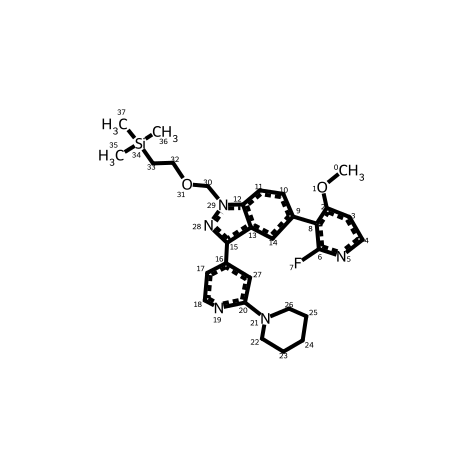 COc1ccnc(F)c1-c1ccc2c(c1)c(-c1ccnc(N3CCCCC3)c1)nn2COCC[Si](C)(C)C